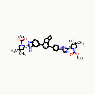 CC1(C)C[C@@H](c2ncc(-c3ccc(-c4ccc(-c5ccc6nc([C@@H]7CC(C)(C)CN7C(=O)OC(C)(C)C)[nH]c6c5)c5c4C4CCC4C5)cc3)[nH]2)N(C(=O)OC(C)(C)C)C1